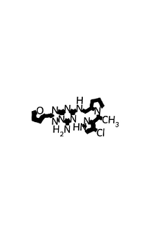 CC(c1n[nH]cc1Cl)N1CCCC1CNc1nc(N)n2nc(-c3ccco3)nc2n1